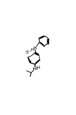 CC(C)Nc1ccc(Nc2ccccc2)cc1.[S]